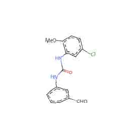 COc1ccc(Cl)cc1NC(=O)Nc1cccc(C=O)c1